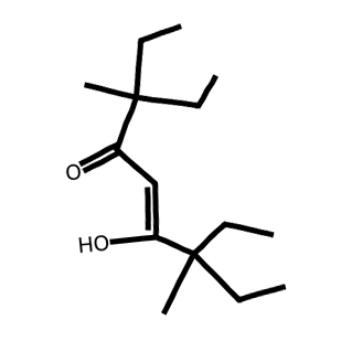 CCC(C)(CC)C(=O)/C=C(\O)C(C)(CC)CC